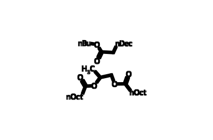 CCCCCCCCC(=O)OCC(C)OC(=O)CCCCCCCC.CCCCCCCCCCCC(=O)OCCCC